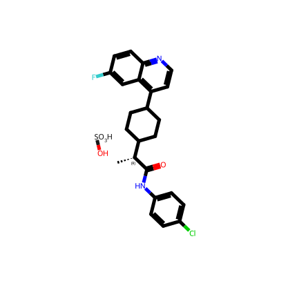 C[C@@H](C(=O)Nc1ccc(Cl)cc1)C1CCC(c2ccnc3ccc(F)cc23)CC1.O=S(=O)(O)O